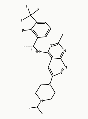 Cc1nc(N[C@H](C)c2cccc(C(F)(F)F)c2F)c2cc(N3CCN(C(C)C)CC3)nnc2n1